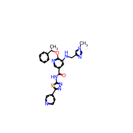 C[C@H](Oc1ncc(C(=O)Nc2nnc(-c3ccncc3)s2)cc1NCc1cn(C)cn1)c1ccccc1